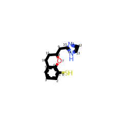 Sc1cccc2c1OC(Cc1ncc[nH]1)CC2